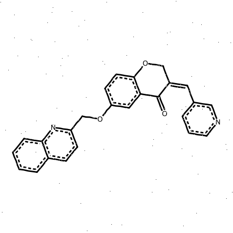 O=C1C(=Cc2cccnc2)COc2ccc(OCc3ccc4ccccc4n3)cc21